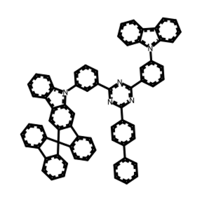 c1ccc(-c2ccc(-c3nc(-c4cccc(-n5c6ccccc6c6ccccc65)c4)nc(-c4cccc(-n5c6ccccc6c6cc7c(cc65)-c5ccccc5C75c6ccccc6-c6ccccc65)c4)n3)cc2)cc1